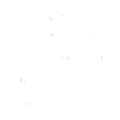 Cc1cc2cc(-n3nncc3C(N)C(=O)O)ccc2[nH]1